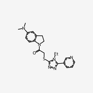 CCn1c(SCC(=O)N2CCc3cc(N(C)C)ccc32)nnc1-c1cccnc1